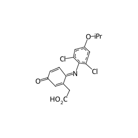 CC(C)Oc1cc(Cl)c(/N=C2\C=CC(=O)C=C2CC(=O)O)c(Cl)c1